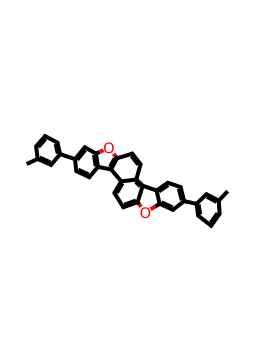 Cc1cccc(-c2ccc3c(c2)oc2ccc4c(ccc5oc6cc(-c7cccc(C)c7)ccc6c54)c23)c1